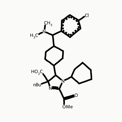 CCCCC1(C(=O)O)N=C(C(=O)OC)N(C2CCCCC2)C1C1CCC(C(c2ccc(Cl)cc2)N(C)C)CC1